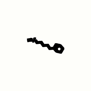 O=C(O)CCCCCC1CC2CCC1O2